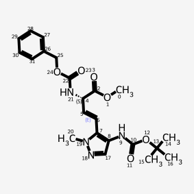 COC(=O)[C@H](/C=C/c1c(NC(=O)OC(C)(C)C)cnn1C)NC(=O)OCc1ccccc1